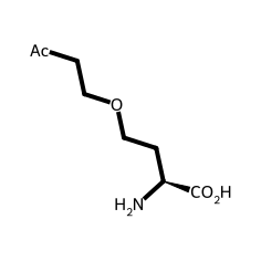 CC(=O)CCOCC[C@H](N)C(=O)O